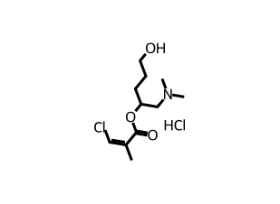 CC(=CCl)C(=O)OC(CCCO)CN(C)C.Cl